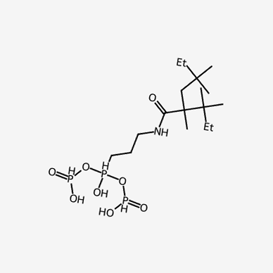 CCC(C)(C)CC(C)(C(=O)NCCC[PH](O)(O[PH](=O)O)O[PH](=O)O)C(C)(C)CC